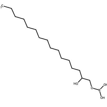 CCCCCCCCCCCCCCC(O)COB(O)O